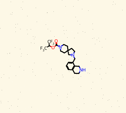 O=C(OC(C(F)(F)F)C(F)(F)F)N1CCC2(CCN(Cc3cccc4c3CNCC4)C2)CC1